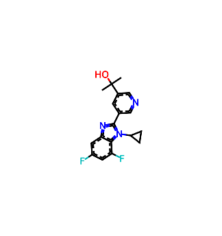 CC(C)(O)c1cncc(-c2nc3cc(F)cc(F)c3n2C2CC2)c1